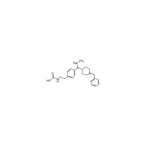 CC(=O)N(c1ccc(CCNC(=O)O)cc1)C1CCN(Cc2ccccc2)CC1